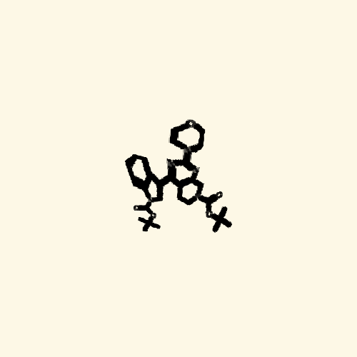 CC(C)(C)OC(=O)N1CCc2c(nc(N3CCOCC3)nc2-c2cn(C(=O)OC(C)(C)C)c3ccccc23)C1